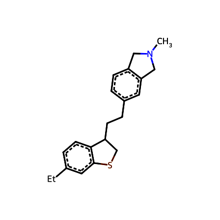 CCc1ccc2c(c1)SCC2CCc1ccc2c(c1)CN(C)C2